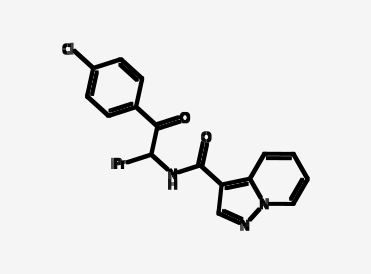 CC(C)C(NC(=O)c1cnn2ccccc12)C(=O)c1ccc(Cl)cc1